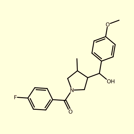 COc1ccc(C(O)C2CN(C(=O)c3ccc(F)cc3)CC2C)cc1